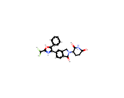 O=C1CCC(N2Cc3cc(-c4nc(C(F)F)oc4-c4ccccc4)ccc3C2=O)C(=O)N1